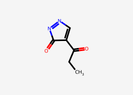 CCC(=O)C1=CN=NC1=O